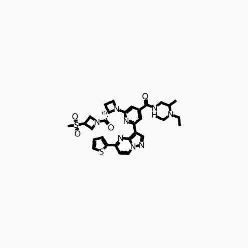 CCN(CC)C(C)CNC(=O)c1cc(-c2cnn3ccc(-c4cccs4)nc23)nc(N2CC[C@H]2C(=O)N2CC(S(C)(=O)=O)C2)c1